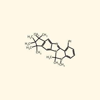 CC(C)c1cccc2c1-c1nc3cc4c(cc3n1C(C)(C)N2C)C(C)(C)C(C)(C)C4(C)C